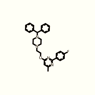 Cc1cc(OCCN2CCN(C(c3ccccc3)c3ccccc3)CC2)nc(-c2ccc(F)cc2)n1